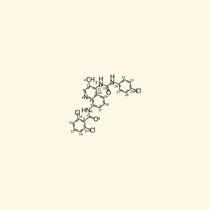 Cc1cnc2c(NC(=O)c3c(Cl)cccc3Cl)cccc2c1NC(=O)Nc1ccc(Cl)cc1